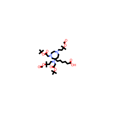 CC(C)(C)OC(=O)CN1CCN(CCC(C)(C)OC=O)CCC(CCCCCC(=O)O)(N(CCC(C)(C)OC=O)CC(=O)OC(C)(C)C)C1